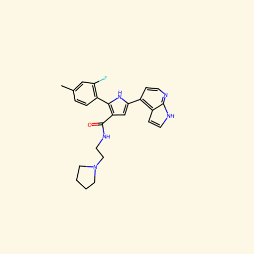 Cc1ccc(-c2[nH]c(-c3ccnc4[nH]ccc34)cc2C(=O)NCCN2CCCC2)c(F)c1